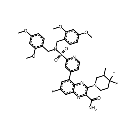 COc1ccc(CN(Cc2ccc(OC)cc2OC)S(=O)(=O)c2cc(-c3cc(F)cc4nc(C(N)=O)c(N5CCC(F)(F)C(C)C5)nc34)ccn2)c(OC)c1